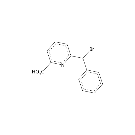 O=C(O)c1cccc(C(Br)c2ccccc2)n1